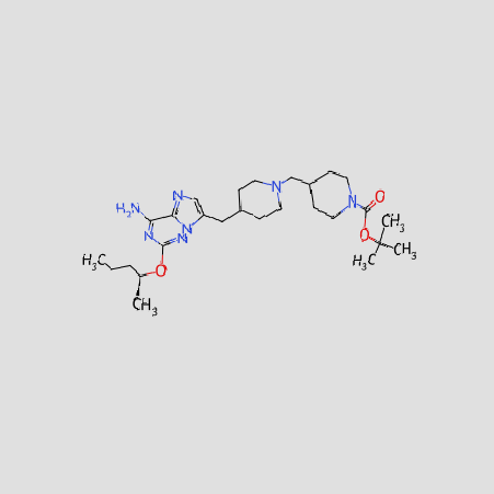 CCC[C@H](C)Oc1nc(N)c2ncc(CC3CCN(CC4CCN(C(=O)OC(C)(C)C)CC4)CC3)n2n1